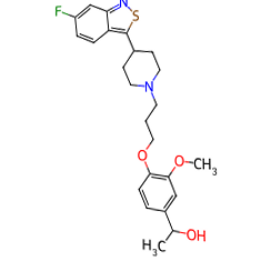 COc1cc(C(C)O)ccc1OCCCN1CCC(c2snc3cc(F)ccc23)CC1